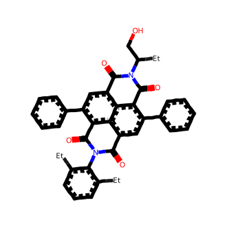 CCc1cccc(CC)c1N1C(=O)c2cc(-c3ccccc3)c3c4c(cc(-c5ccccc5)c(c24)C1=O)C(=O)N(C(CC)CO)C3=O